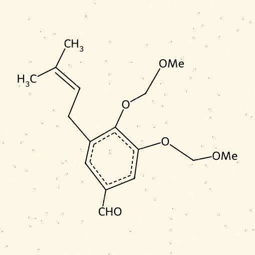 COCOc1cc(C=O)cc(CC=C(C)C)c1OCOC